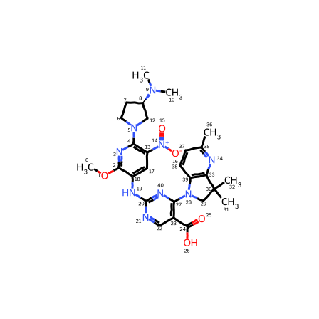 COc1nc(N2CC[C@@H](N(C)C)C2)c([N+](=O)[O-])cc1Nc1ncc(C(=O)O)c(N2CC(C)(C)c3nc(C)ccc32)n1